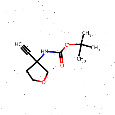 C#CC1(NC(=O)OC(C)(C)C)CCOC1